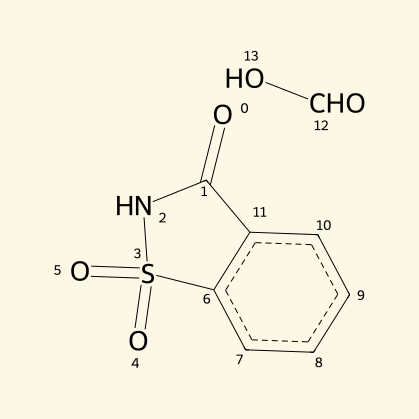 O=C1NS(=O)(=O)c2ccccc21.O=CO